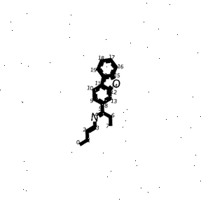 CC/C=C/N=C(\CC)c1ccc2c(c1)oc1ccccc12